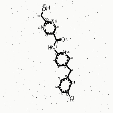 O=C(Nc1ccc(Cc2cccc(Cl)c2)cn1)c1cnc(CO)nc1